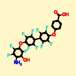 Nc1c(O)c(F)c(Oc2c(F)c(F)c(-c3c(F)c(F)c(Oc4ccc(C(=O)O)cc4)c(F)c3F)c(F)c2F)c(F)c1F